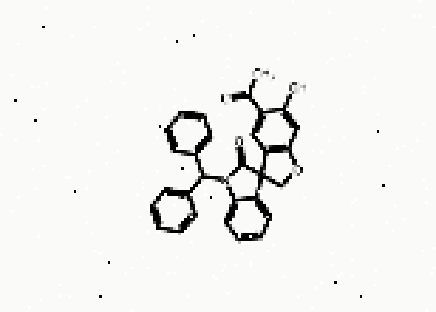 CC(=O)c1cc2c(cc1O)OCC21C(=O)N(C(c2ccccc2)c2ccccc2)c2ccccc21